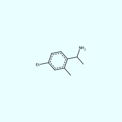 CCc1ccc(C(C)N)c(C)c1